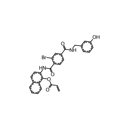 C=CC(=O)Oc1c(NC(=O)c2ccc(C(=O)NCc3cccc(O)c3)cc2Br)ccc2ccccc12